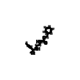 CC#CC(CC)NCCNC(=O)OCc1ccccc1